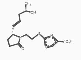 C[C@@H](O)C/C=C/[C@H]1CCC(=O)N1CCSc1nc(C(=O)O)cs1